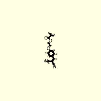 C=C(C)C(=O)OCCOc1ccc(C=C(C#N)C#N)cc1